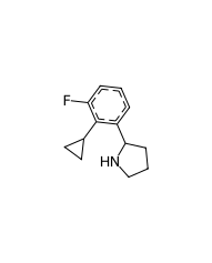 Fc1cccc(C2CCCN2)c1C1CC1